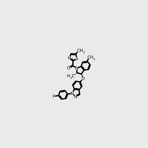 Cc1ccc2c(c1)N(C(=O)c1ncc(C)s1)[C@@H](C)[C@@H]2Oc1ccc2c(cnn2-c2ccc(F)cc2)c1